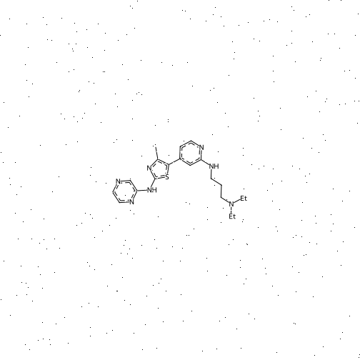 CCN(CC)CCCNc1cc(-c2sc(Nc3cnccn3)nc2C)ccn1